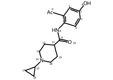 CC(=O)c1cc(O)ccc1NC(=O)C1CCN(C2CC2)CC1